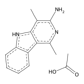 CC(=O)O.Cc1c(N)nc(C)c2c1[nH]c1ccccc12